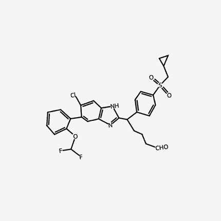 O=CCCCC(c1ccc(S(=O)(=O)CC2CC2)cc1)c1nc2cc(-c3ccccc3OC(F)F)c(Cl)cc2[nH]1